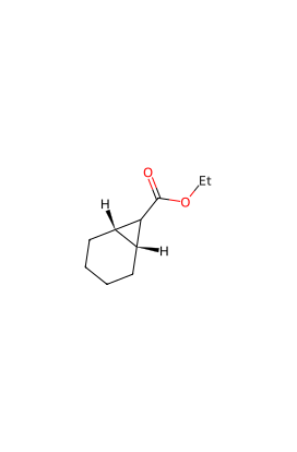 CCOC(=O)C1[C@H]2CCCC[C@@H]12